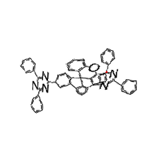 c1ccc(-c2cc(-c3cccc4c3C3(c5ccccc5Oc5ccccc53)c3ccc(-c5nc(-c6ccccc6)nc(-c6ccccc6)n5)cc3-4)nc(-c3ccccc3)n2)cc1